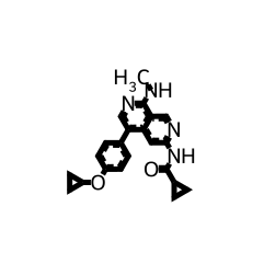 CNc1ncc(-c2ccc(OC3CC3)cc2)c2cc(NC(=O)C3CC3)ncc12